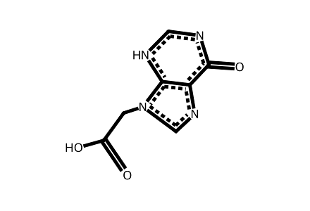 O=C(O)Cn1cnc2c(=O)nc[nH]c21